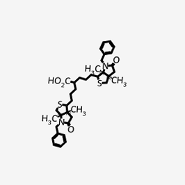 C[C@]12CSC(CCCC(CCCC3SC[C@@]4(C)N(Cc5ccccc5)C(=O)C[C@@]34C)C(=O)O)[C@@]1(C)N(Cc1ccccc1)C(=O)C2